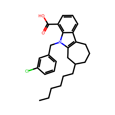 CCCCCCC1CCCc2c(n(Cc3cccc(Cl)c3)c3c(C(=O)O)cccc23)C1